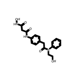 O=C(CC(=O)Nc1ccc(CC(=O)N(CCO)c2ccccc2)cc1)NO